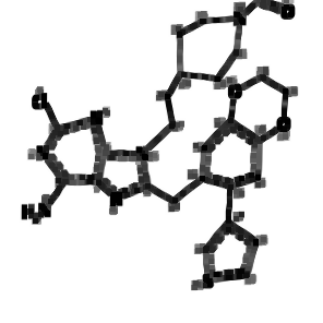 Nc1nc(Cl)nc2c1nc(Cc1cc3c(cc1-c1ccsc1)OCCO3)n2CCC1CCN(C=O)CC1